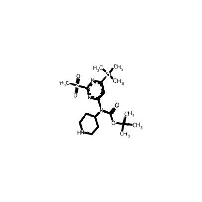 CC(C)(C)OC(=O)N(c1c[c]([Sn]([CH3])([CH3])[CH3])nc(S(C)(=O)=O)n1)C1CCNCC1